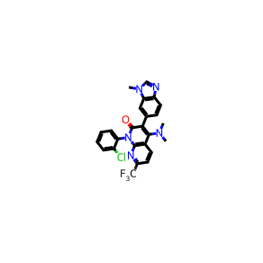 CN(C)c1c(-c2ccc3ncn(C)c3c2)c(=O)n(-c2ccccc2Cl)c2nc(C(F)(F)F)ccc12